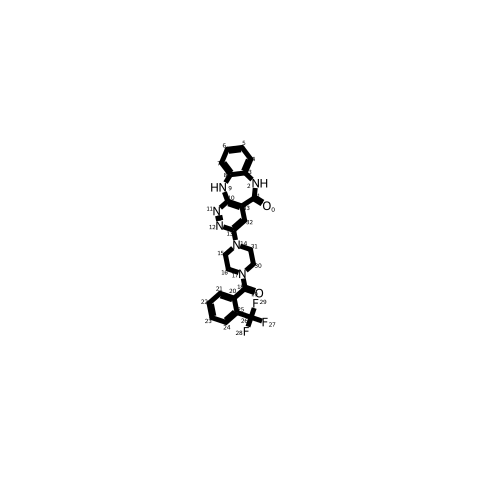 O=C1Nc2ccccc2Nc2nnc(N3CCN(C(=O)c4ccccc4C(F)(F)F)CC3)cc21